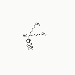 CCCCCCC(CCCCCC)C(O)c1ccc(OS(C)(=O)=O)o1